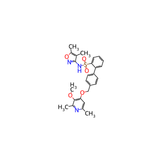 COc1c(OCc2ccc(-c3ccccc3S(=O)(=O)Nc3noc(C)c3C)cc2)cc(C)nc1C